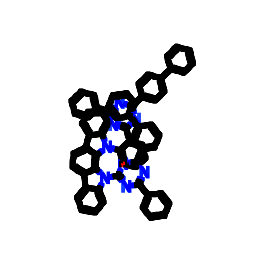 c1ccc(-c2ccc(-c3nc(-c4ccccc4)nc(-c4ccccc4-n4c5ccccc5c5ccc6c7ccccc7n(-c7nc(-c8ccccc8)nc(-c8cccc(-c9ccccc9)c8)n7)c6c54)n3)cc2)cc1